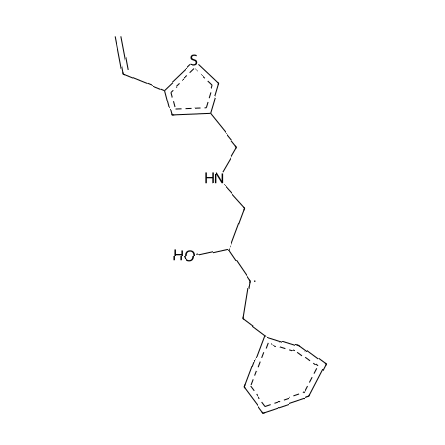 C=Cc1cc(CNCC(O)[CH]Cc2ccccc2)cs1